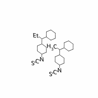 CC(C1CCCCC1)C1CCC(N=C=S)CC1.CCC(C1CCCCC1)C1CCC(N=C=S)CC1